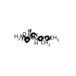 Cc1cc(Nc2ncc(F)c(N[C@@H]3C(C(N)=O)[C@@H]4C=C[C@H]3C4)n2)ccc1N1CCN(C)CC1